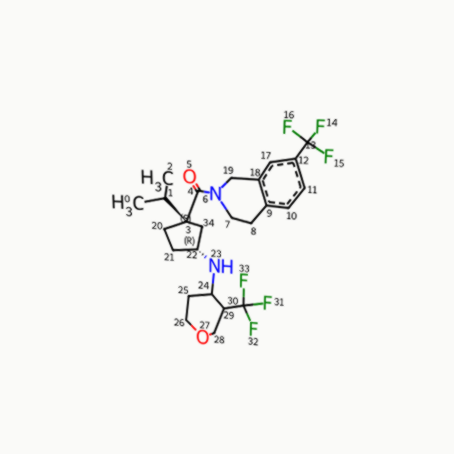 CC(C)[C@]1(C(=O)N2CCc3ccc(C(F)(F)F)cc3C2)CC[C@@H](NC2CCOCC2C(F)(F)F)C1